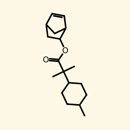 CC1CCC(C(C)(C)C(=O)OC2CC3C=CC2C3)CC1